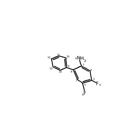 Nc1cc(F)c(F)cc1-c1ccccc1